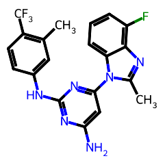 Cc1cc(Nc2nc(N)cc(-n3c(C)nc4c(F)cccc43)n2)ccc1C(F)(F)F